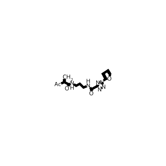 C=C(C(C)=O)C(=O)NCCCNC(=O)c1nnn(-c2ccco2)n1